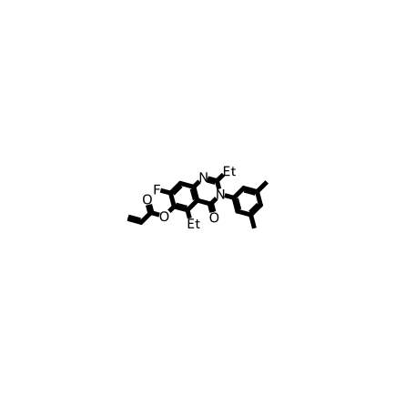 C=CC(=O)Oc1c(F)cc2nc(CC)n(-c3cc(C)cc(C)c3)c(=O)c2c1CC